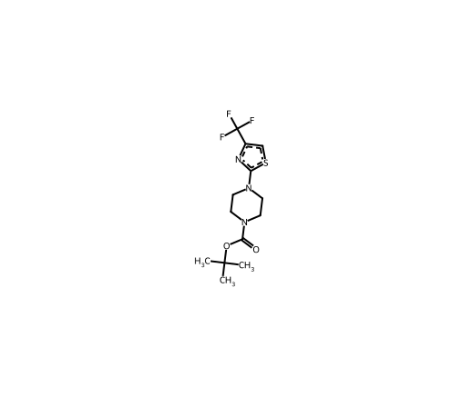 CC(C)(C)OC(=O)N1CCN(c2nc(C(F)(F)F)cs2)CC1